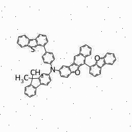 CC1(C)c2ccccc2-c2ccc(N(c3ccc(-c4cccc5c4sc4ccccc45)cc3)c3ccc4oc5c(-c6cccc7c6oc6ccccc67)c6ccccc6cc5c4c3)cc21